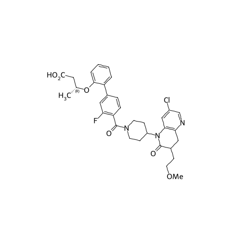 COCCC1Cc2ncc(Cl)cc2N(C2CCN(C(=O)c3ccc(-c4ccccc4O[C@H](C)CC(=O)O)cc3F)CC2)C1=O